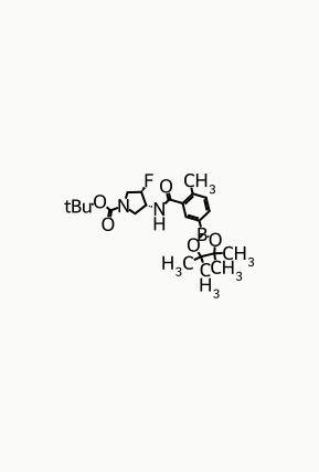 Cc1ccc(B2OC(C)(C)C(C)(C)O2)cc1C(=O)N[C@@H]1CN(C(=O)OC(C)(C)C)C[C@H]1F